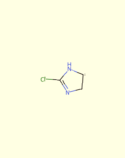 ClC1=NC[C]N1